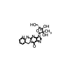 C[C@@]1(O)[C@H](O)[C@@H](CO)O[C@H]1n1cnc2c(=O)n(Cc3ccccc3)c(N)nc21